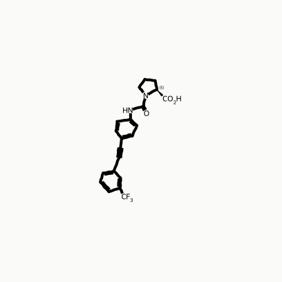 O=C(O)[C@@H]1CCCN1C(=O)Nc1ccc(C#Cc2cccc(C(F)(F)F)c2)cc1